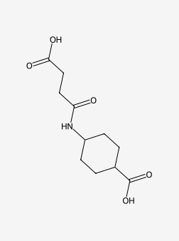 O=C(O)CCC(=O)NC1CCC(C(=O)O)CC1